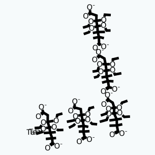 CCOC(CC(=O)[O-])(OCC)C(OCC)(OCC)C(C)(C)C(C)(C)C(=O)[O-].CCOC(CC(=O)[O-])(OCC)C(OCC)(OCC)C(C)(C)C(C)(C)C(=O)[O-].CCOC(CC(=O)[O-])(OCC)C(OCC)(OCC)C(C)(C)C(C)(C)C(=O)[O-].CCOC(CC(=O)[O-])(OCC)C(OCC)(OCC)C(C)(C)C(C)(C)C(=O)[O-].CCOC(CC(=O)[O-])(OCC)C(OCC)(OCC)C(C)(C)C(C)(C)C(=O)[O-].[Ta+5].[Ta+5]